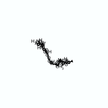 Cc1c(NC(=O)c2ccc(C3CC3)cc2F)cc(F)cc1-c1ncnc(N)c1OCCN(C)C(=O)/C=C/CN1CCC(OCCOCCOCCNS(=O)(=O)c2ccc(Nc3ncc(Br)c(Nc4cccc(F)c4C(N)=O)n3)cc2)CC1